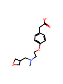 CN(CCOc1ccc(CC(=O)O)cc1)CC1COC1